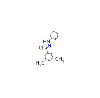 Cc1cc(C)cc(C(Cl)=NNc2ccccc2)c1